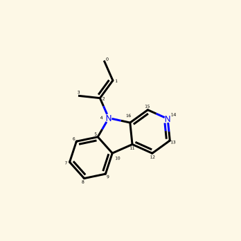 C/C=C(\C)n1c2ccccc2c2ccncc21